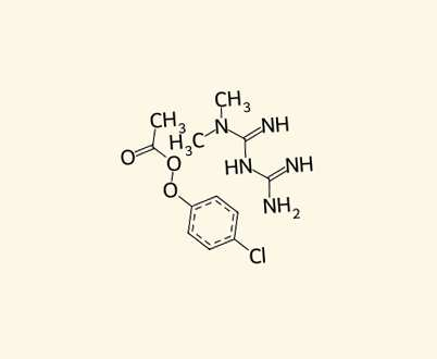 CC(=O)OOc1ccc(Cl)cc1.CN(C)C(=N)NC(=N)N